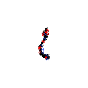 CCC(=O)CCC(C(C)=O)N1C(=O)c2ccc(N3CC(OCC#Cc4ccc(OCCCOC5C=CC(c6ccc7c8cnccc8n(C)c7c6)=CN5)cn4)C3)cc2C1=O